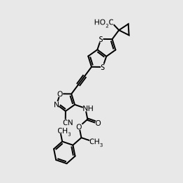 Cc1ccccc1C(C)OC(=O)Nc1c(C#N)noc1C#Cc1cc2sc(C3(C(=O)O)CC3)cc2s1